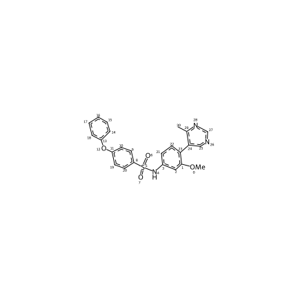 COc1cc(NS(=O)(=O)c2ccc(Oc3ccccc3)cc2)ccc1-c1cncnc1C